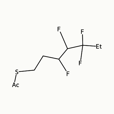 CCC(F)(F)C(F)C(F)CCSC(C)=O